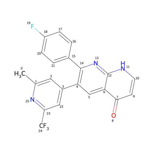 Cc1cc(-c2cc3c(=O)cc[nH]c3nc2-c2ccc(F)cc2)cc(C(F)(F)F)n1